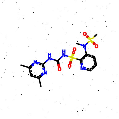 Cc1cc(C)nc(NC(=O)NS(=O)(=O)c2ncccc2N(C)S(C)(=O)=O)n1